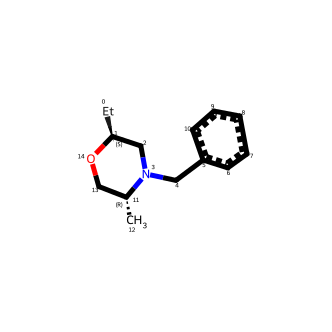 CC[C@H]1CN(Cc2ccccc2)[C@H](C)CO1